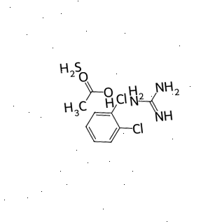 CC(=O)O.Clc1ccccc1Cl.N=C(N)N.S